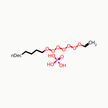 C=COOOOOOOCCCCCCCCCCCCCC.O=P(O)(O)O